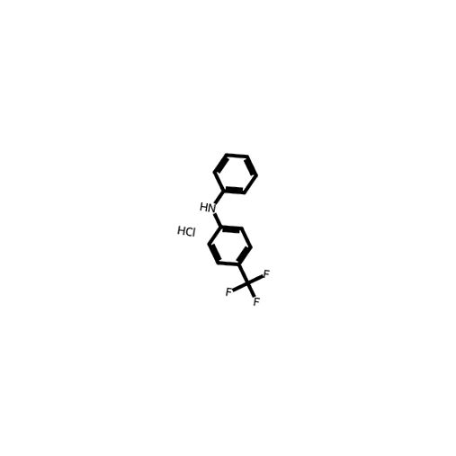 Cl.FC(F)(F)c1ccc(Nc2ccccc2)cc1